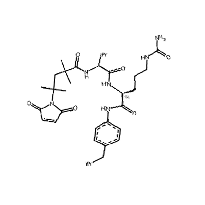 CC(C)Cc1ccc(NC(=O)[C@H](CCCNC(N)=O)NC(=O)C(NC(=O)C(C)(C)CC(C)(C)N2C(=O)C=CC2=O)C(C)C)cc1